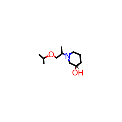 CC(C)OCC(C)N1CCC[C@@H](O)C1